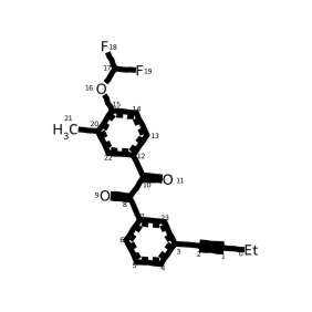 CCC#Cc1cccc(C(=O)C(=O)c2ccc(OC(F)F)c(C)c2)c1